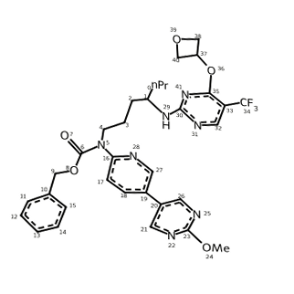 CCCC(CCCN(C(=O)OCc1ccccc1)c1ccc(-c2cnc(OC)nc2)cn1)Nc1ncc(C(F)(F)F)c(OC2COC2)n1